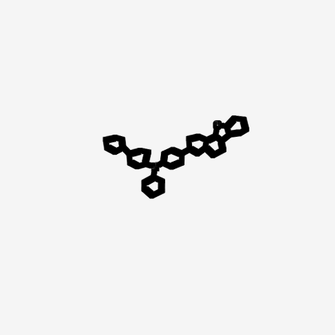 c1ccc(-c2ccc(N(c3ccccc3)c3ccc(-c4ccc5c(ccc6c7ccccc7oc56)c4)cc3)cc2)cc1